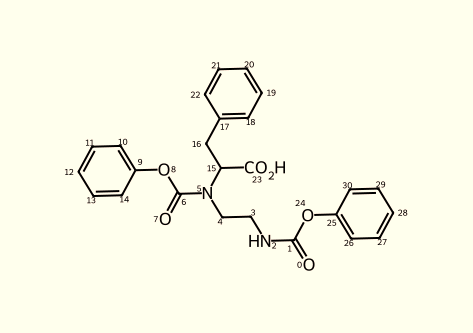 O=C(NCCN(C(=O)Oc1ccccc1)C(Cc1ccccc1)C(=O)O)Oc1ccccc1